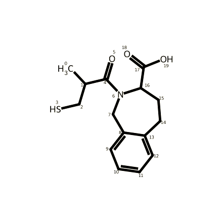 CC(CS)C(=O)N1Cc2ccccc2CCC1C(=O)O